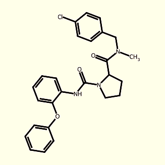 CN(Cc1ccc(Cl)cc1)C(=O)C1CCCN1C(=O)Nc1ccccc1Oc1ccccc1